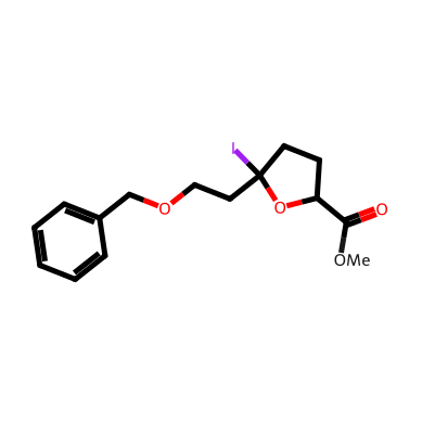 COC(=O)C1CCC(I)(CCOCc2ccccc2)O1